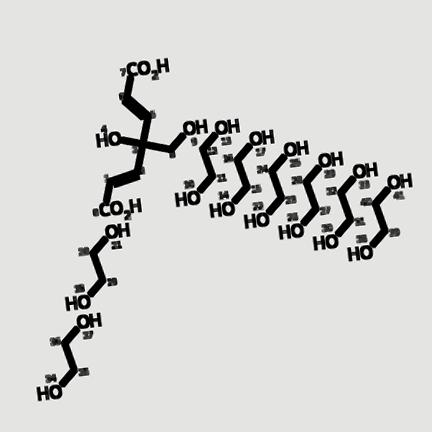 O=C(O)C=CC(O)(C=CC(=O)O)CO.OCCO.OCCO.OCCO.OCCO.OCCO.OCCO.OCCO.OCCO